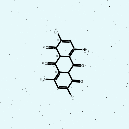 NC1=C2C(=O)C3C(=O)C(Br)=CC(N)=C3C(=O)C2C(=O)C(Br)=C1